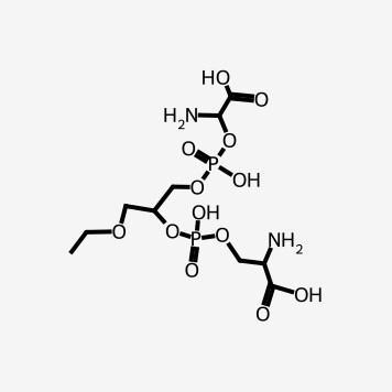 CCOCC(COP(=O)(O)OC(N)C(=O)O)OP(=O)(O)OCC(N)C(=O)O